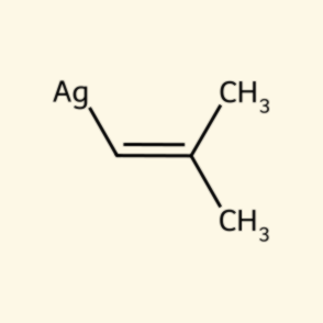 CC(C)=[CH][Ag]